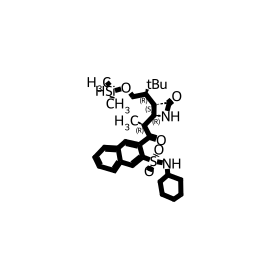 C[C@@H](C(=O)c1cc2ccccc2cc1S(=O)(=O)NC1CCCCC1)[C@H]1NC(=O)[C@H]1[C@@H](CO[SiH](C)C)C(C)(C)C